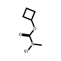 CCN(C)C(=O)OC1CCC1